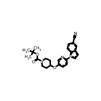 CC(C)(C)OC(=O)N1CCC(Oc2ccc(-n3ccc4cc(C#N)ccc43)nc2)CC1